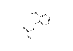 COc1ccccc1CCC(N)=O